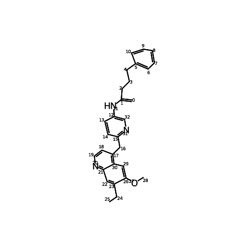 C=C(CCCc1ccccc1)Nc1ccc(Cc2ccnc3cc(CC)c(OC)cc23)nc1